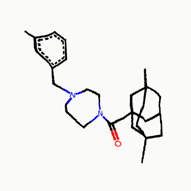 Cc1cccc(CN2CCN(C(=O)C34CC5CC(C)(CC(C)(C5)C3)C4)CC2)c1